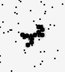 c1ccc(-c2cccc(-c3nc(-c4ccc(-c5ccc(-c6cccc7sc8ccccc8c67)c6c5oc5ccccc56)cc4)nc(-c4ccc5c(c4)oc4ccccc45)n3)c2)cc1